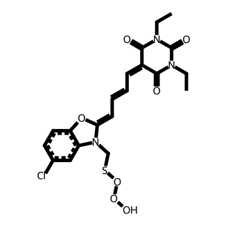 CCN1C(=O)C(=C/C=C/C=C2\Oc3ccc(Cl)cc3N2CSOOO)C(=O)N(CC)C1=O